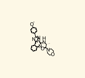 COc1ccc(-c2nc3c4ccccc4nc(N[C@H](C)C(=O)N4CCOCC4)n3n2)cc1